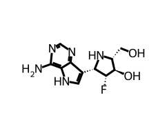 Nc1ncnc2c([C@@H]3N[C@H](CO)[C@@H](O)[C@@H]3F)c[nH]c12